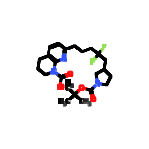 CC(C)(C)OC(=O)N1CCC(CC(F)(F)CCCc2ccc3c(n2)N(C(=O)O)CCC3)C1